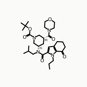 CCCn1c(C(=O)N(CC(C)C)[C@H]2C[C@@H](C(=O)N3CCOCC3)CN(C(=O)OC(C)(C)C)C2)cc2c1C(=O)CCC2